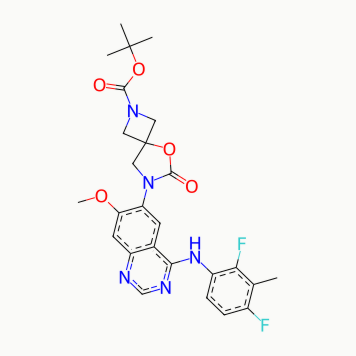 COc1cc2ncnc(Nc3ccc(F)c(C)c3F)c2cc1N1CC2(CN(C(=O)OC(C)(C)C)C2)OC1=O